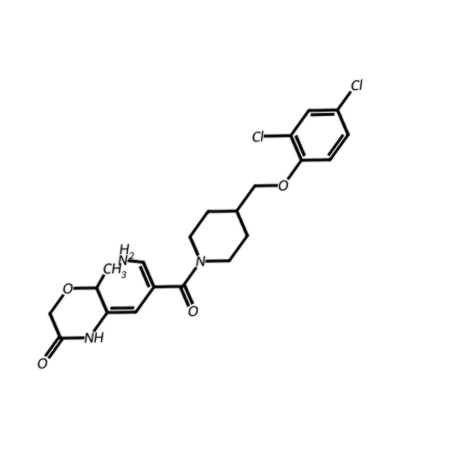 CC1OCC(=O)N/C1=C/C(=C\N)C(=O)N1CCC(COc2ccc(Cl)cc2Cl)CC1